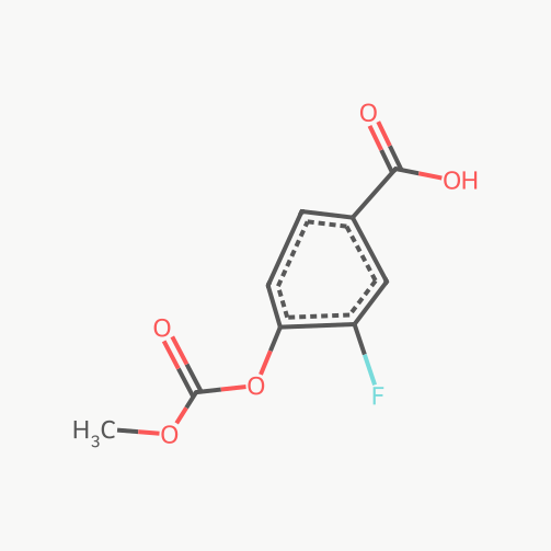 COC(=O)Oc1ccc(C(=O)O)cc1F